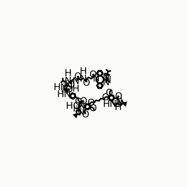 COc1cc2c(cc1OCCCCCOc1cc3c(cc1OC)C(=O)N1CC4(CC4)C[C@H]1[C@H](O)N3C(=O)OCc1ccc(NC(=O)[C@H](C)NC(=O)[C@@H](NC(=O)CNC(=O)CNC(=O)CCC(=O)N3Cc4ccccc4-c4nnn(C(C)(C)C(C)C)c4-c4ccccc43)C(C)C)cc1)NC[C@@H]1CC3(CC3)CN1C2=O